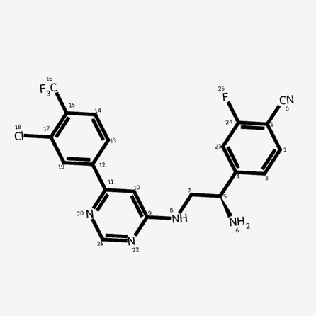 N#Cc1ccc([C@@H](N)CNc2cc(-c3ccc(C(F)(F)F)c(Cl)c3)ncn2)cc1F